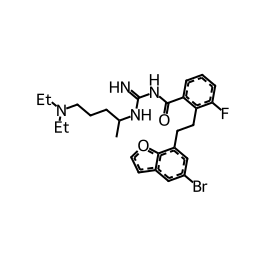 CCN(CC)CCCC(C)NC(=N)NC(=O)c1cccc(F)c1CCc1cc(Br)cc2ccoc12